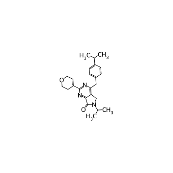 CC(C)c1ccc(Cc2nc(C3=CCOCC3)nc3c2CN(C(C)C)C3=O)cc1